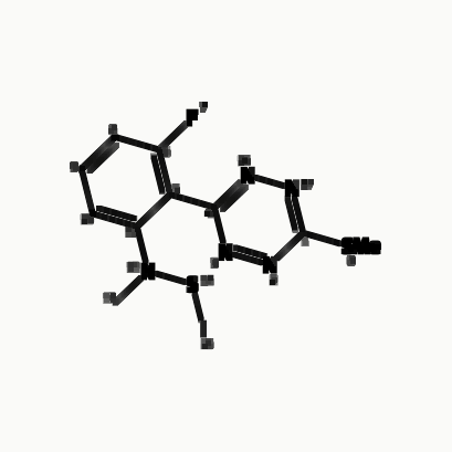 CSc1nnc(-c2c(F)cccc2N(C)SI)nn1